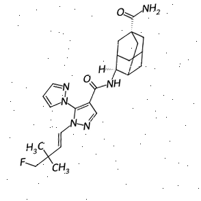 CC(C)(/C=C/n1ncc(C(=O)N[C@H]2C3CC4CC2C[C@](C(N)=O)(C4)C3)c1-n1cccn1)CF